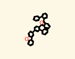 c1ccc(-c2ccccc2-c2oc(-c3ccc(-c4ccc5oc6ccccc6c5c4)cc3-c3ccccc3)c3ccccc23)cc1